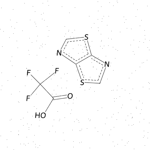 O=C(O)C(F)(F)F.c1nc2scnc2s1